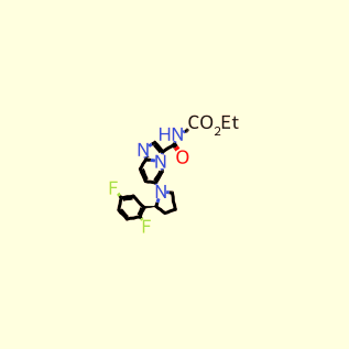 CCOC(=O)CNC(=O)c1cnc2ccc(N3CCC[C@H]3c3cc(F)ccc3F)cn12